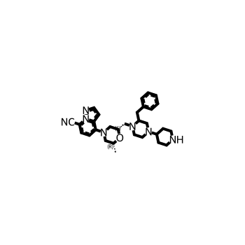 C[C@@H]1CN(c2ccc(C#N)n3nccc23)C[C@H](CN2CCN(C3CCNCC3)CC2Cc2ccccc2)O1